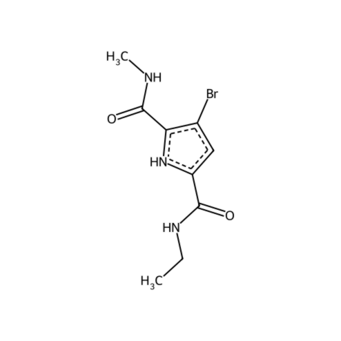 CCNC(=O)c1cc(Br)c(C(=O)NC)[nH]1